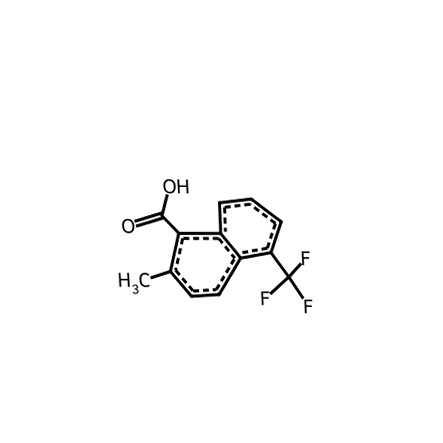 Cc1ccc2c(C(F)(F)F)cccc2c1C(=O)O